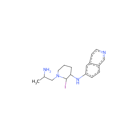 CC(N)CN1CCCC(Nc2ccc3cnccc3c2)C1I